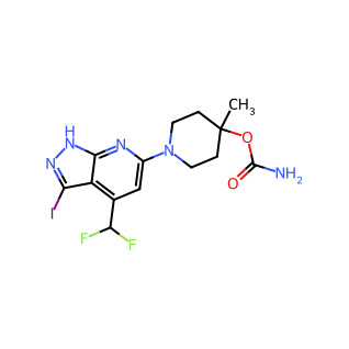 CC1(OC(N)=O)CCN(c2cc(C(F)F)c3c(I)n[nH]c3n2)CC1